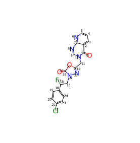 O=c1c2cccnc2ncn1Cc1nn(CC(F)c2ccc(Cl)cc2)c(=O)o1